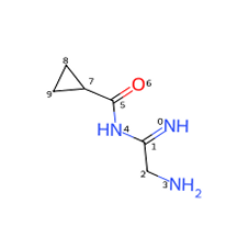 N=C(CN)NC(=O)C1CC1